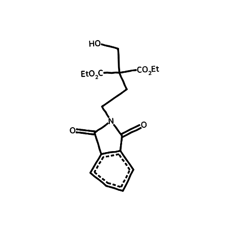 CCOC(=O)C(CO)(CCN1C(=O)c2ccccc2C1=O)C(=O)OCC